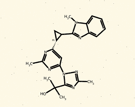 Cc1nc([C@@H]2CC2c2nc3ccccc3n2C)cc(-n2nc(C)nc2C(C)(C)O)n1